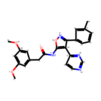 COc1cc(CC(=O)Nc2onc(-c3cccc(C)c3)c2-c2ccncn2)cc(OC)c1